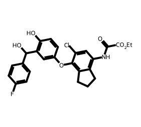 CCOC(=O)C(=O)Nc1cc(Cl)c(Oc2ccc(O)c(C(O)c3ccc(F)cc3)c2)c2c1CCC2